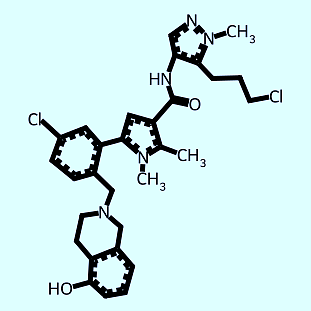 Cc1c(C(=O)Nc2cnn(C)c2CCCCl)cc(-c2cc(Cl)ccc2CN2CCc3c(O)cccc3C2)n1C